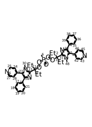 CCC(CC)(OOP(C)(=O)OOC(CC)(CC)c1nc(-c2ccccc2)c(-c2ccncc2)n1C)c1nc(-c2ccccc2)c(-c2ccncc2)n1C